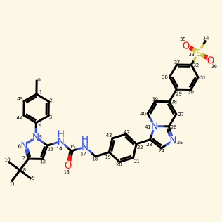 Cc1ccc(-n2nc(C(C)(C)C)cc2NC(=O)NCc2ccc(-c3cnc4cc(-c5ccc(S(C)(=O)=O)cc5)ccn34)cc2)cc1